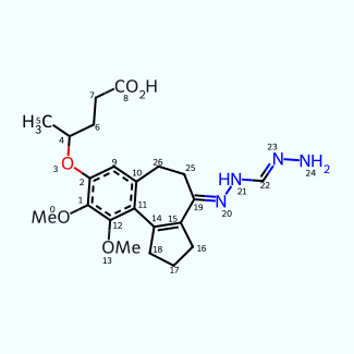 COc1c(OC(C)CCC(=O)O)cc2c(c1OC)C1=C(CCC1)C(=NNC=NN)CC2